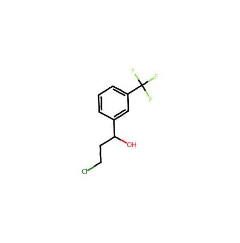 OC(CCCl)c1cccc(C(F)(F)F)c1